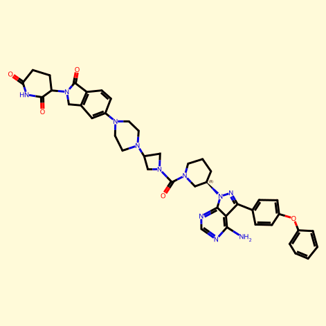 Nc1ncnc2c1c(-c1ccc(Oc3ccccc3)cc1)nn2[C@@H]1CCCN(C(=O)N2CC(N3CCN(c4ccc5c(c4)CN(C4CCC(=O)NC4=O)C5=O)CC3)C2)C1